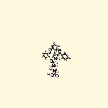 O=C(c1ccccc1)[C@H]1CN(CC(=O)N2CCN(C(=O)O)CC2)C[C@H](C(=O)c2ccccc2)C1c1ccccc1